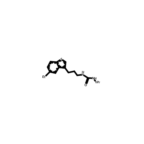 CCCNC(=O)NCCCc1csc2ccc(CC)cc12